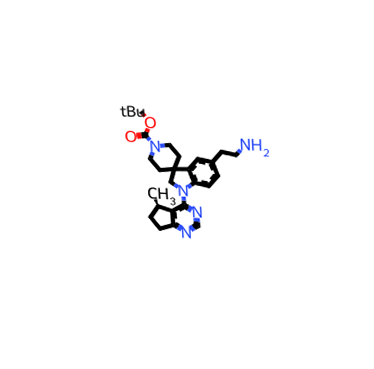 C[C@@H]1CCc2ncnc(N3CC4(CCN(C(=O)OC(C)(C)C)CC4)c4cc(CCN)ccc43)c21